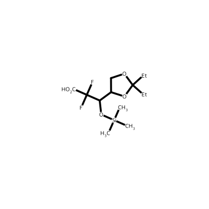 CCC1(CC)OCC(C(O[Si](C)(C)C)C(F)(F)C(=O)O)O1